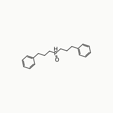 O=[PH](CCCc1ccccc1)CCCc1ccccc1